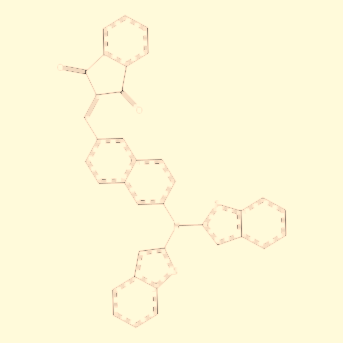 O=C1C(=Cc2ccc3cc(N(c4cc5ccccc5s4)c4cc5ccccc5s4)ccc3c2)C(=O)c2ccccc21